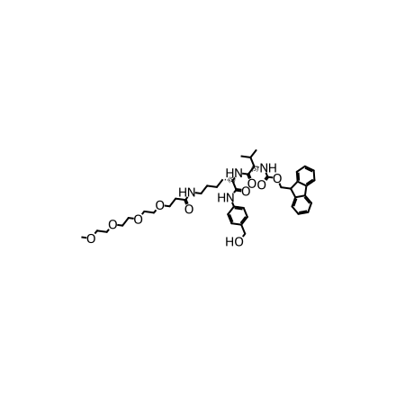 COCCOCCOCCOCCC(=O)NCCCC[C@H](NC(=O)[C@@H](NC(=O)OCC1c2ccccc2-c2ccccc21)C(C)C)C(=O)Nc1ccc(CO)cc1